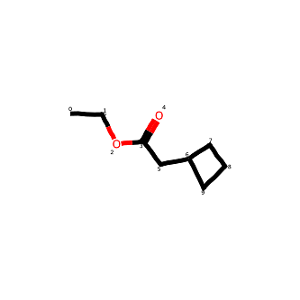 C[CH]OC(=O)CC1CCC1